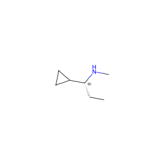 CC[C@@H](NC)C1CC1